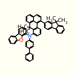 CC1(C)c2ccccc2-c2ccc(-c3ccc4cccc5c4c3-c3cccc(N(c4ccc(-c6ccccc6)cc4)c4cccc6c4oc4ccccc46)c3C5(C)C)cc21